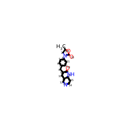 CC1CN(c2ccc(Cc3cc4cnccc4[nH]c3=O)cc2)C(=O)O1